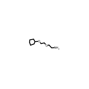 NCCOCCOC1CCCCC1